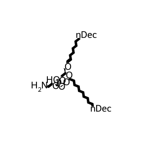 CCCCCCCCCCCCCCCCC=COC[C@H](COP(=O)(O)OCCN)OC(=O)CCCCCCCCCCCCCCCCCCC